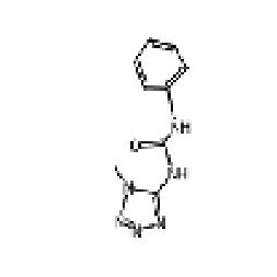 Cn1nnnc1NC(=O)Nc1ccccc1